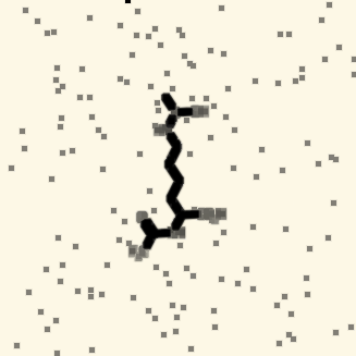 CB(O)NCCCCC(NC(=O)C(F)(F)F)C(=O)O